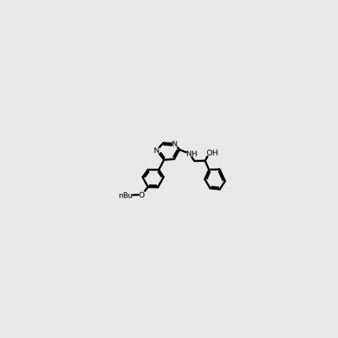 CCCCOc1ccc(-c2cc(NCC(O)c3ccccc3)ncn2)cc1